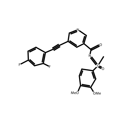 COc1ccc(S(C)(=O)=NC(=O)c2cncc(C#Cc3ccc(F)cc3F)c2)cc1OC